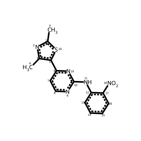 Cc1nc(C)c(-c2ccnc(Nc3ccccc3[N+](=O)[O-])n2)s1